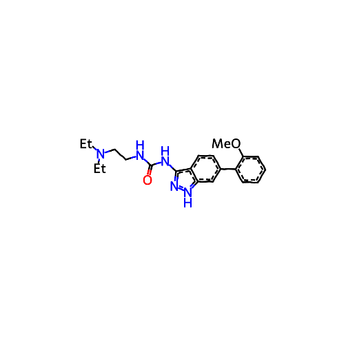 CCN(CC)CCNC(=O)Nc1n[nH]c2cc(-c3ccccc3OC)ccc12